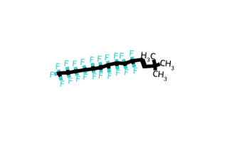 CC(C)(C)C=CC(F)(F)C(F)(F)C(F)(F)C(F)(F)C(F)(F)C(F)(F)C(F)(F)C(F)(F)C(F)(F)C(F)(F)F